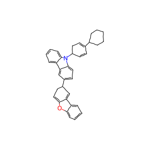 C1=CC(n2c3ccccc3c3cc(C4C=c5c(oc6ccccc56)=CC4)ccc32)CC=C1C1CCCCC1